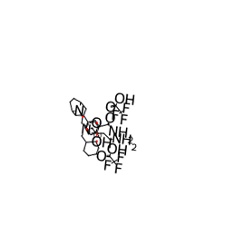 NCC[C@H](O)C(=O)N(CCN1C2CCC1CC(c1cccc(C(N)=O)c1)C2)CC1CCCCC1.O=C(O)C(F)(F)F.O=C(O)C(F)(F)F